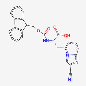 N#Cc1cn2c(C[C@H](NC(=O)OCC3c4ccccc4-c4ccccc43)C(=O)O)cccc2n1